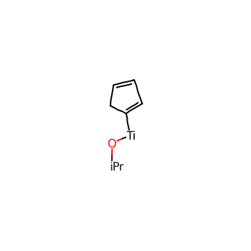 CC(C)[O][Ti][C]1=CC=CC1